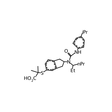 CCCC(CC)N(C(=O)Nc1ccc(C(C)C)cc1)C1Cc2ccc(SC(C)(C)C(=O)O)cc2C1